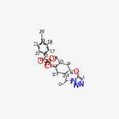 CCn1nncc1OC1CCC(OS(=O)(=O)c2ccc(C)cc2)CC1